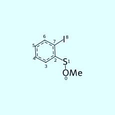 COSc1ccccc1I